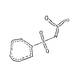 O=S(=O)=NS(=O)(=O)c1ccccc1